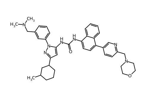 CC1CCCC(c2cc(NC(=O)Nc3ccc(-c4ccc(CN5CCOCC5)nc4)c4ccccc34)n(-c3cccc(CN(C)C)c3)n2)C1